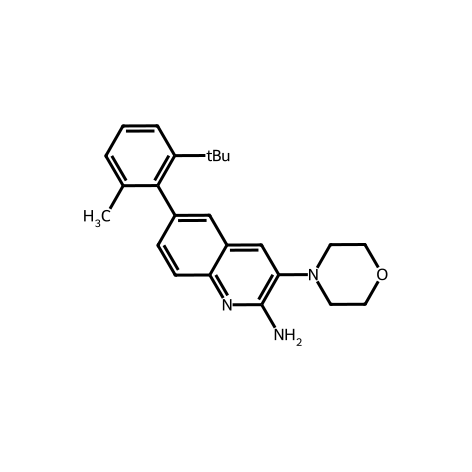 Cc1cccc(C(C)(C)C)c1-c1ccc2nc(N)c(N3CCOCC3)cc2c1